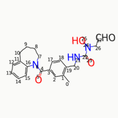 Cc1cc(C(=O)N2CCCCc3ccccc32)ccc1CNC(=O)N(O)CC=O